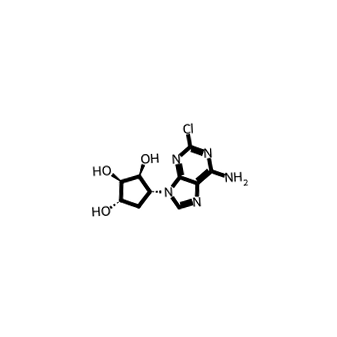 Nc1nc(Cl)nc2c1ncn2[C@@H]1C[C@H](O)[C@@H](O)[C@H]1O